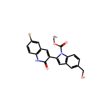 CC(C)(C)OC(=O)n1c(-c2cc3cc(Br)ccc3[nH]c2=O)cc2cc(CO)ccc21